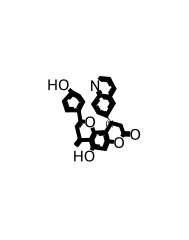 C=C1C=C(c2ccc(O)cc2)Oc2c1c(O)cc1c2[C@H](c2ccc3ncccc3c2)CC(=O)O1